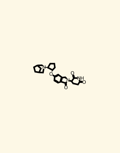 O=C1CCC(N2Cc3cc(O[C@H]4CCC[C@@H]4N4CC5CCC(C5)C4)ccc3C2=O)C(=O)N1